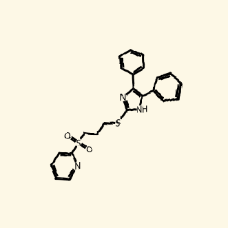 O=S(=O)(CCCSc1nc(-c2ccccc2)c(-c2ccccc2)[nH]1)c1ccccn1